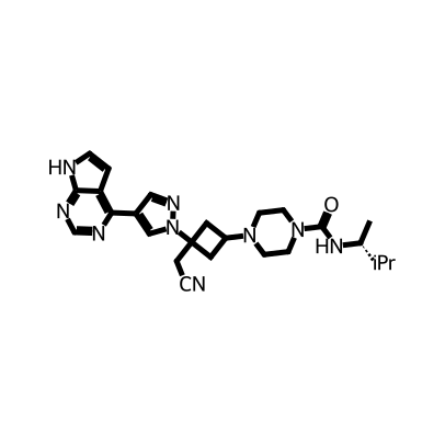 CC(C)[C@@H](C)NC(=O)N1CCN(C2CC(CC#N)(n3cc(-c4ncnc5[nH]ccc45)cn3)C2)CC1